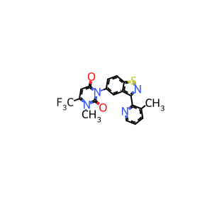 Cc1cccnc1-c1nsc2ccc(-n3c(=O)cc(C(F)(F)F)n(C)c3=O)cc12